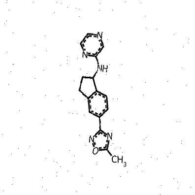 Cc1nc(-c2ccc3c(c2)CCC3Nc2cnccn2)no1